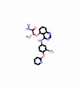 CCNC(=O)[C@@H](C)Oc1cccc2ncnc(Nc3ccc(Oc4ccccn4)c(C)c3)c12